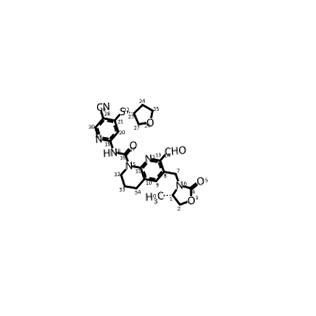 C[C@H]1COC(=O)N1Cc1cc2c(nc1C=O)N(C(=O)Nc1cc(S[C@@H]3CCOC3)c(C#N)cn1)CCC2